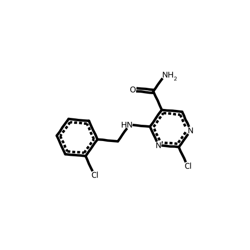 NC(=O)c1cnc(Cl)nc1NCc1ccccc1Cl